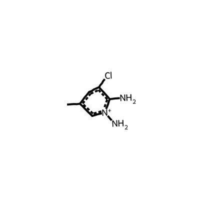 Cc1cc(Cl)c(N)[n+](N)c1